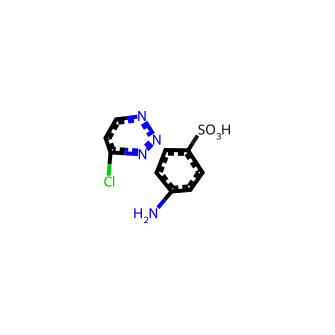 Clc1ccnnn1.Nc1ccc(S(=O)(=O)O)cc1